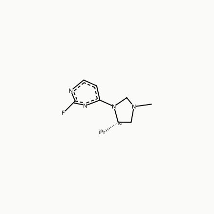 CC(C)[C@H]1CN(C)CN1c1ccnc(F)n1